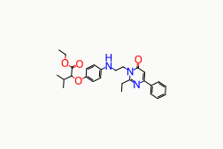 CCOC(=O)C(Oc1ccc(NCCn2c(CC)nc(-c3ccccc3)cc2=O)cc1)C(C)C